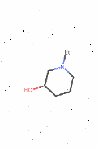 CCN1CC[CH][C@@H](O)C1